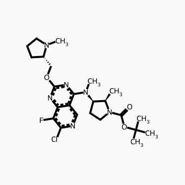 C[C@@H]1[C@H](N(C)c2nc(OC[C@@H]3CCCN3C)nc3c(F)c(Cl)ncc23)CCN1C(=O)OC(C)(C)C